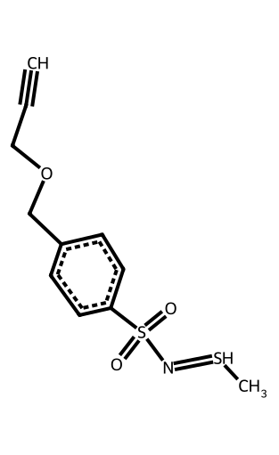 C#CCOCc1ccc(S(=O)(=O)N=[SH]C)cc1